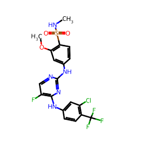 CNS(=O)(=O)c1ccc(Nc2ncc(F)c(Nc3ccc(C(F)(F)F)c(Cl)c3)n2)cc1OC